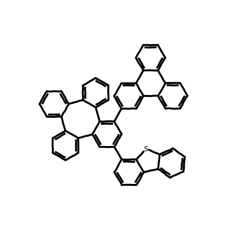 c1ccc2c(c1)-c1ccccc1-c1cc(-c3cccc4c3sc3ccccc34)cc(-c3ccc4c5ccccc5c5ccccc5c4c3)c1-c1ccccc1-2